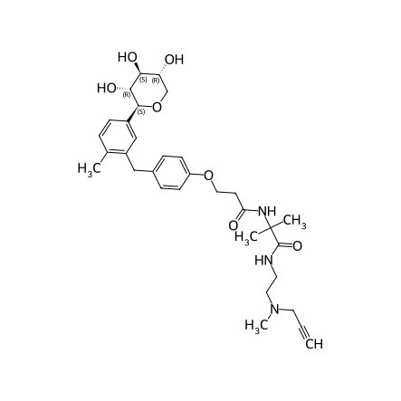 C#CCN(C)CCNC(=O)C(C)(C)NC(=O)CCOc1ccc(Cc2cc([C@@H]3OC[C@@H](O)[C@H](O)[C@H]3O)ccc2C)cc1